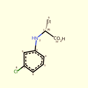 CC[C@@H](Nc1cccc(Cl)c1)C(=O)O